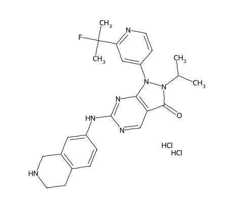 CC(C)n1c(=O)c2cnc(Nc3ccc4c(c3)CNCC4)nc2n1-c1ccnc(C(C)(C)F)c1.Cl.Cl